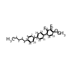 CCCCCc1ccc(-c2ccc(-c3ccc(OC)c(F)c3F)cc2)cc1